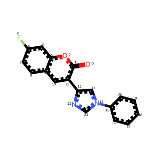 O=c1oc2cc(F)ccc2cc1-c1cn(-c2ccccc2)cn1